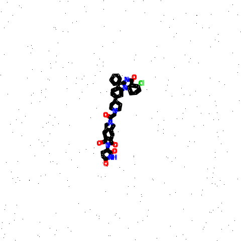 O=C1CCC(N2C(=O)c3cc4c(cc3C2=O)CN(C(=O)CN2CCC(c3ccc5c(c3)-n3c(nc(=O)c6c(Cl)cccc63)C53CCCCC3)CC2)C4)C(=O)N1